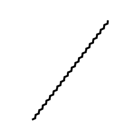 CCCCCCCCCCCCCCCCCCCCCCCCCCCCCCCCCCCCCCCCCCC